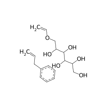 C=CCc1ccccc1.C=COCC(O)C(O)C(O)C(O)CO